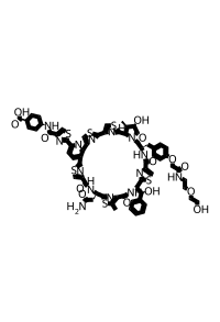 Cc1sc2nc1C(=O)NC([C@H](O)c1ccccc1)c1nc(cs1)C(=O)N[C@@H](Cc1ccc(OCC(=O)NCCOCCO)cc1)C(=O)N1C[C@H](O)[C@H](C)[C@H]1c1nc(cs1)-c1nc(cs1)-c1nc(-c3nc(C(=O)N[C@H]4CC[C@H](C(=O)O)CC4)cs3)ccc1-c1nc(cs1)C(=O)N[C@H]2CC(N)=O